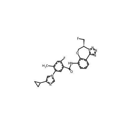 Cc1cc(F)c(C(=O)Nc2cccc3c2OC[C@@H](CF)n2nnnc2-3)cc1-n1cnc(C2CC2)c1